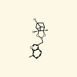 Cc1cccc2c(CB3O[C@@H]4C[C@@H]5CC([C@@H]5C)[C@]4(C)O3)coc12